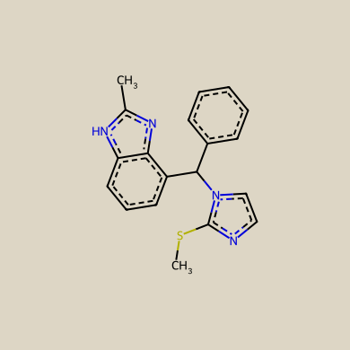 CSc1nccn1C(c1ccccc1)c1cccc2[nH]c(C)nc12